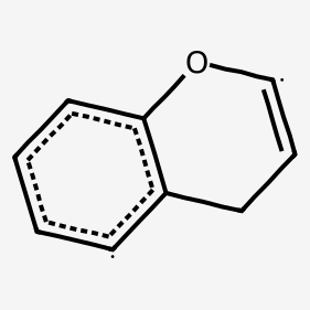 [C]1=CCc2[c]cccc2O1